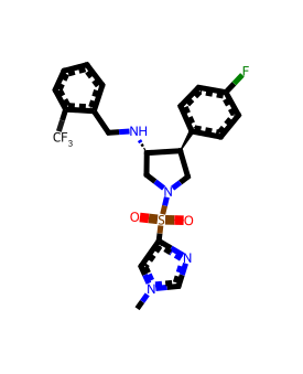 Cn1cnc(S(=O)(=O)N2C[C@H](NCc3ccccc3C(F)(F)F)[C@@H](c3ccc(F)cc3)C2)c1